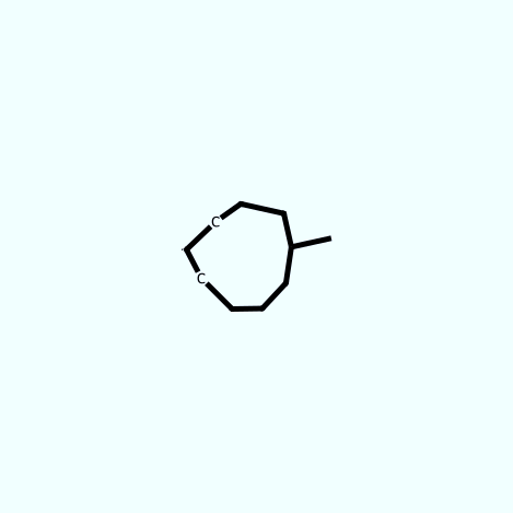 CC1CCC[CH]CCCC1